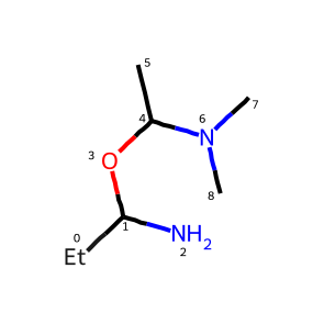 CCC(N)OC(C)N(C)C